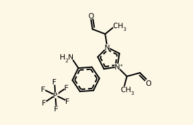 CC(C=O)n1cc[n+](C(C)C=O)c1.F[P-](F)(F)(F)(F)F.Nc1ccccc1